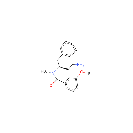 CCOc1cccc(C(=O)N(C)[C@H](CCN)Cc2ccccc2)c1